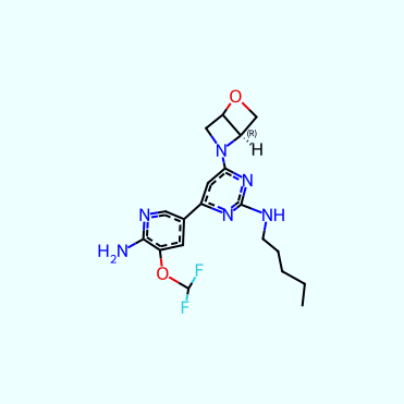 CCCCCNc1nc(-c2cnc(N)c(OC(F)F)c2)cc(N2CC3OC[C@H]32)n1